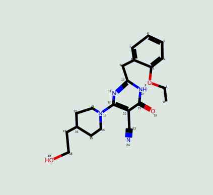 CCOc1ccccc1Cc1nc(N2CCC(CCO)CC2)c(C#N)c(=O)[nH]1